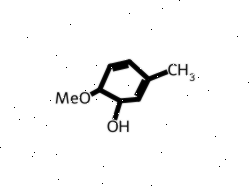 COC1C=CC(C)=CC1O